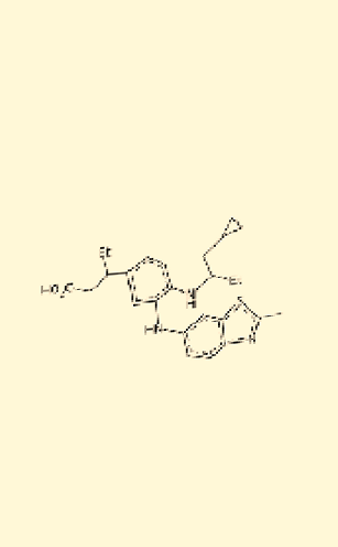 CCC(CC1CC1)Nc1ccc(C(CC)CC(=O)O)cc1Nc1ccc2nc(C)sc2c1